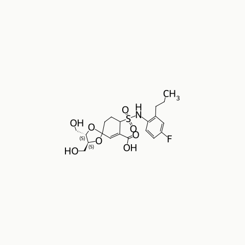 CCCc1cc(F)ccc1NS(=O)(=O)C1CCC2(C=C1C(=O)O)O[C@@H](CO)[C@H](CO)O2